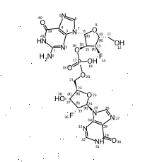 Nc1nc2c(ncn2[C@@H]2O[C@H](CO)[C@@H](F)[C@H]2OP(=O)(O)OC[C@H]2O[C@@H](n3cnc4c(=O)[nH]cnc43)[C@H](F)[C@@H]2O)c(=O)[nH]1